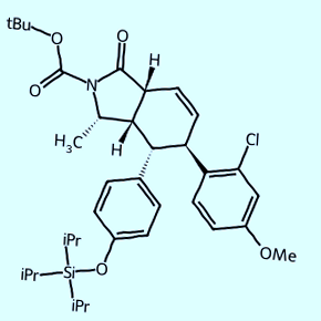 COc1ccc([C@@H]2C=C[C@H]3C(=O)N(C(=O)OC(C)(C)C)[C@@H](C)[C@H]3[C@H]2c2ccc(O[Si](C(C)C)(C(C)C)C(C)C)cc2)c(Cl)c1